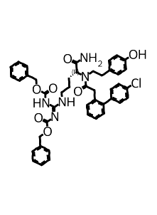 NC(=O)[C@@H](CCCNC(=NC(=O)OCc1ccccc1)NC(=O)OCc1ccccc1)N(CCc1ccc(O)cc1)C(=O)Cc1ccccc1-c1ccc(Cl)cc1